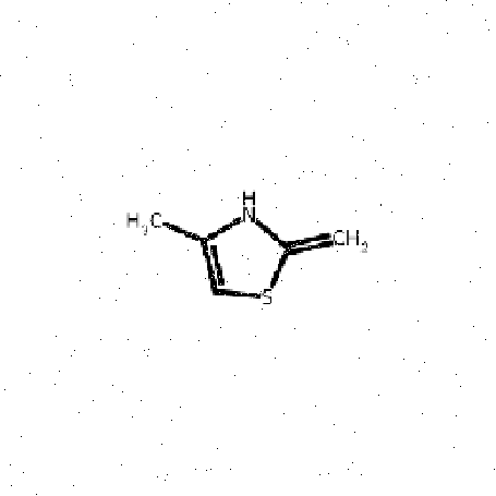 C=C1NC(C)=CS1